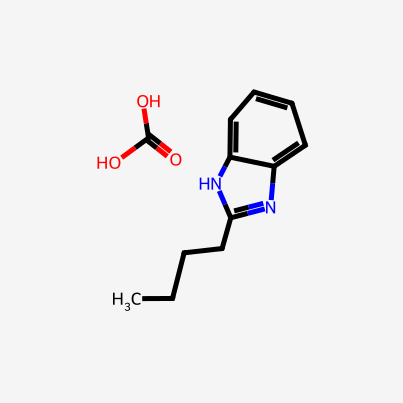 CCCCc1nc2ccccc2[nH]1.O=C(O)O